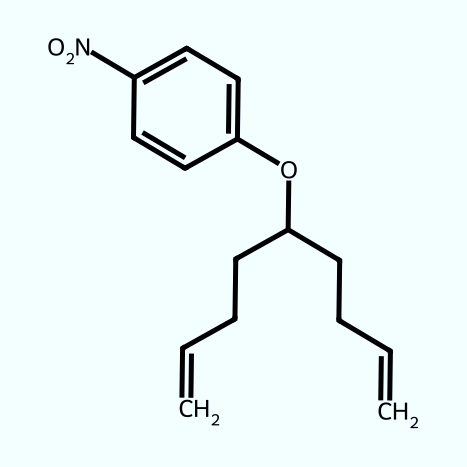 C=CCCC(CCC=C)Oc1ccc([N+](=O)[O-])cc1